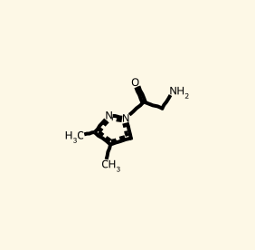 Cc1cn(C(=O)CN)nc1C